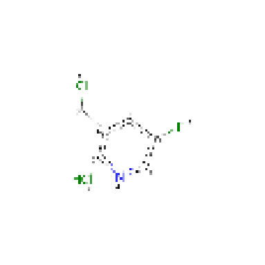 Cl.Fc1cncc(CCl)c1